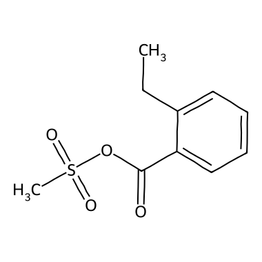 CCc1ccccc1C(=O)OS(C)(=O)=O